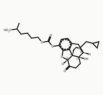 CC(CCCCOC(=O)Oc1ccc2c3c1O[C@H]1C(=O)CC[C@@]4(O)[C@@H](C2)N(CC2CC2)CC[C@]314)C(=O)O